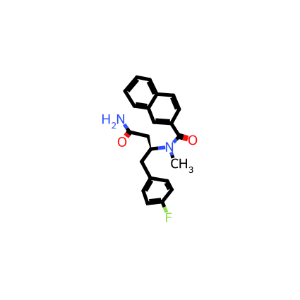 CN(C(=O)c1ccc2ccccc2c1)[C@H](CC(N)=O)Cc1ccc(F)cc1